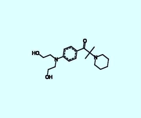 CC(C)(C(=O)c1ccc(N(CCO)CCO)cc1)N1CCCCC1